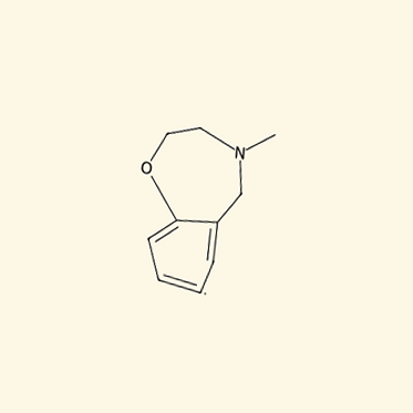 CN1CCOc2cc[c]cc2C1